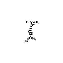 C=C1CC(C)CC(CCSC[C@@H]2CCc3cc([C@H](CN)CCCCO)ccc3C2)C1